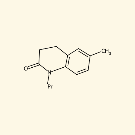 Cc1ccc2c(c1)CCC(=O)N2C(C)C